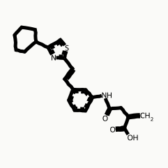 C=C(CC(=O)Nc1cccc(C=Cc2nc(C3CCCCC3)cs2)c1)C(=O)O